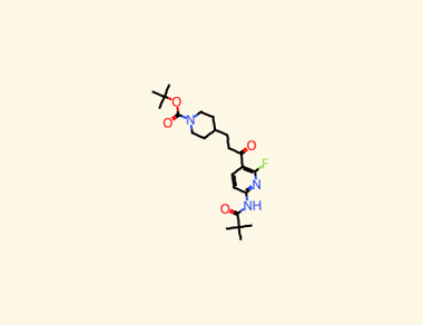 CC(C)(C)OC(=O)N1CCC(CCC(=O)c2ccc(NC(=O)C(C)(C)C)nc2F)CC1